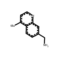 CC(C)(C)c1ccnc2cc(CN)ccc12